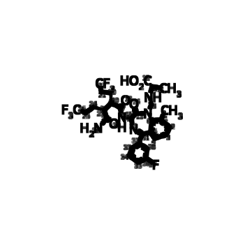 Cc1cccc2c1N(CN[C@@H](C)C(=O)O)C(=O)[C@@H](NC(=O)[C@H](CCC(F)(F)F)[C@H](CCC(F)(F)F)C(N)=O)N=C2c1cccc(F)c1